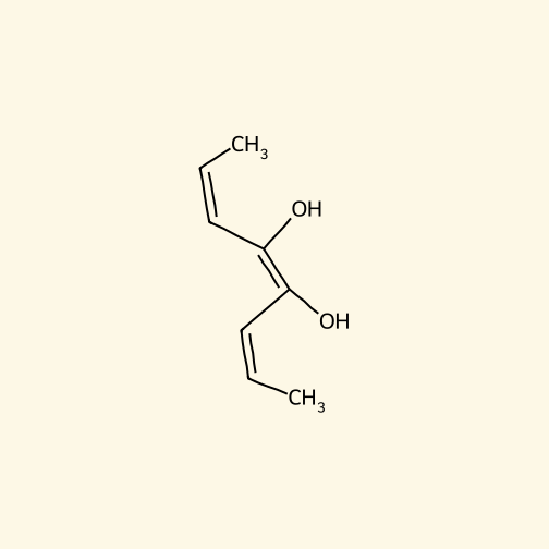 C\C=C/C(O)=C(O)\C=C/C